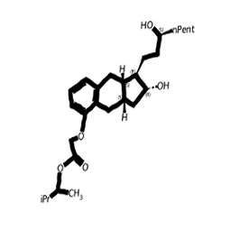 CCCCC[C@H](O)CC[C@@H]1[C@H]2Cc3cccc(OCC(=O)OC(C)C(C)C)c3C[C@H]2C[C@H]1O